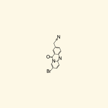 N#CCc1ccc2nc3ccc(Br)cn3c(=O)c2c1